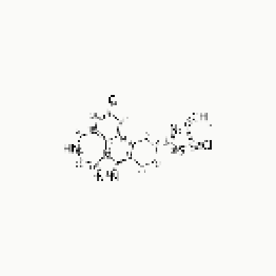 Cc1nc([C@H]2CC[C@H](c3nnc4n3-c3ccc(Cl)cc3CNC4)CC2)sc1Cl